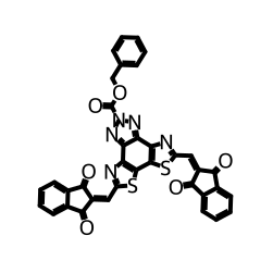 O=C1C(=Cc2nc3c4nn(C(=O)OCc5ccccc5)nc4c4nc(C=C5C(=O)c6ccccc6C5=O)sc4c3s2)C(=O)c2ccccc21